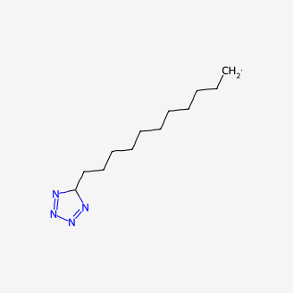 [CH2]CCCCCCCCCCC1N=NN=N1